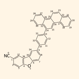 N#Cc1ccc2oc3ccc(-c4ccc(-c5cc6c7ccccc7ccc6c6ccccc56)cc4)cc3c2c1